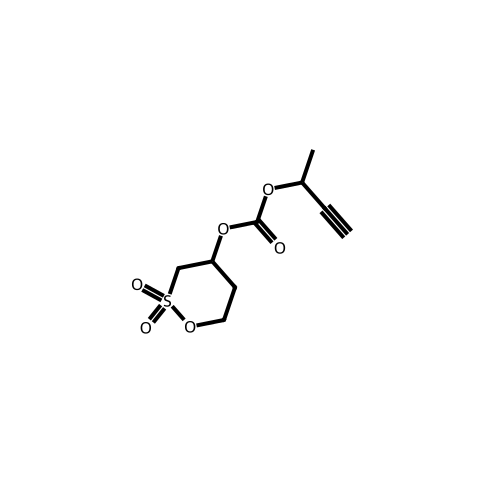 C#CC(C)OC(=O)OC1CCOS(=O)(=O)C1